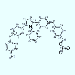 CCc1ccc(C[n+]2ccc(-c3ccc(-c4cc[n+](Cc5ccc(COP(=O)=O)cc5)cc4)n3-c3ccccc3)cc2)cc1